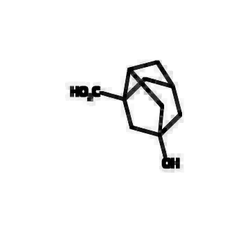 O=C(O)C12CC3CC1CC(O)(C3)C2